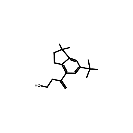 C=C(CCO)c1cc(C(C)(C)C)cc2c1CCC2(C)C